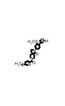 COc1ccc(C(=O)N2CCC3(CC2)CCN(c2ccc(-c4cn[nH]c4)c(OC)c2)C3=O)nc1